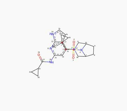 N#CC1(CS(=O)(=O)N2C3CCC2CN(c2cc(NC(=O)C4CC4)nc4[nH]ccc24)C3)CC1